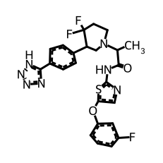 CC(C(=O)Nc1ncc(Oc2cccc(F)c2)s1)N1CCC(F)(F)C(c2ccc(-c3nnn[nH]3)cc2)C1